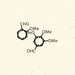 COc1cc(C=O)cc(OC)c1OC.COc1ccccc1C=O